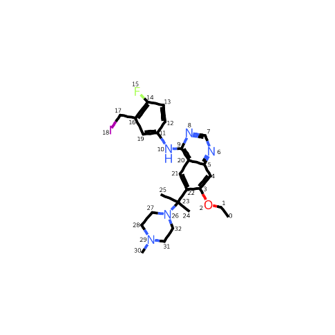 CCOc1cc2ncnc(Nc3ccc(F)c(CI)c3)c2cc1C(C)(C)N1CCN(C)CC1